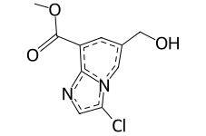 COC(=O)c1cc(CO)cn2c(Cl)cnc12